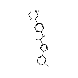 O=C(Nc1ccc(C2CNCCO2)cc1)c1cnn(-c2cccc(F)c2)c1